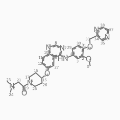 COc1cc(Nc2ncnc3ccc(OC4CCN(C(=O)CN(C)C)CC4)cc23)ccc1OCc1cnccn1